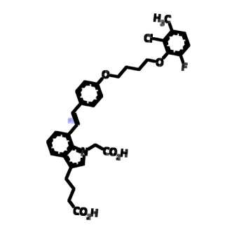 Cc1ccc(F)c(OCCCCOc2ccc(/C=C/c3cccc4c(CCCC(=O)O)cn(CC(=O)O)c34)cc2)c1Cl